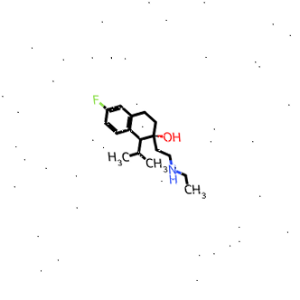 CCNCC[C@@]1(O)CCc2cc(F)ccc2C1C(C)C